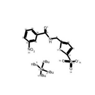 CCCC[N+](CCCC)(CCCC)CCCC.O=C(NCc1ccc(S(=O)(=O)[O-])s1)c1cccc([N+](=O)[O-])c1